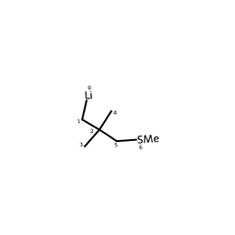 [Li][CH2]C(C)(C)CSC